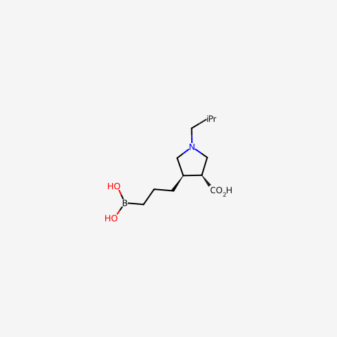 CC(C)CN1C[C@H](CCCB(O)O)[C@H](C(=O)O)C1